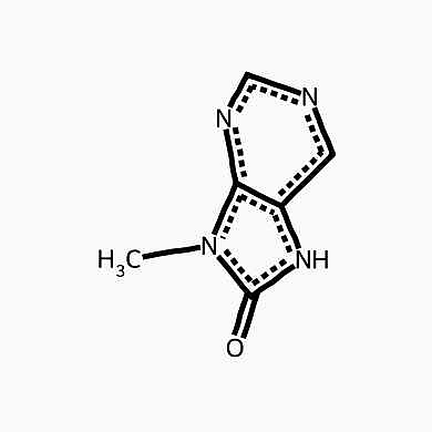 Cn1c(=O)[nH]c2cncnc21